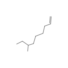 C=CCCCCC(C)CC